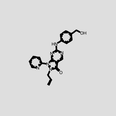 C=CCn1c(=O)c2cnc(Nc3ccc(CO)cc3)nc2n1-c1ccccn1